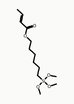 CC=CC(=O)OCCCCCC[Si](OC)(OC)OC